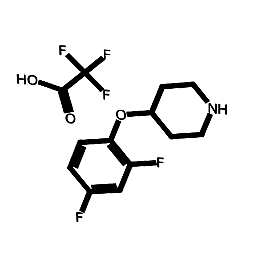 Fc1ccc(OC2CCNCC2)c(F)c1.O=C(O)C(F)(F)F